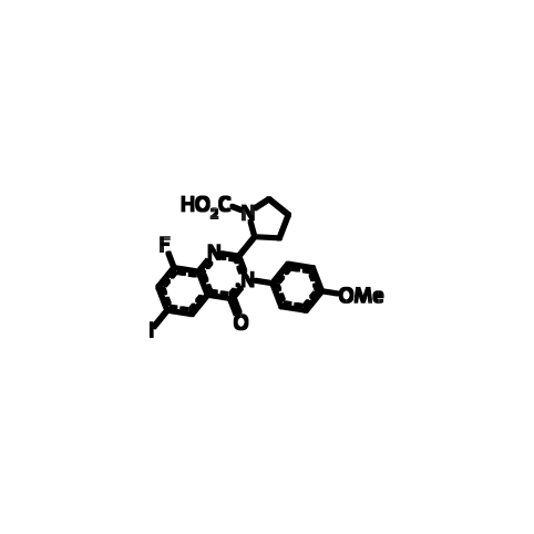 COc1ccc(-n2c(C3CCCN3C(=O)O)nc3c(F)cc(I)cc3c2=O)cc1